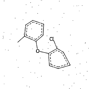 Cc1ccccc1Oc1ccccc1Cl